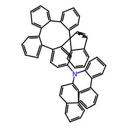 c1ccc(-c2ccccc2N(c2ccc3c(c2)C2(c4ccccc4-c4ccccc4-c4ccccc4-3)c3ccccc3-c3ccccc32)c2ccc3ccccc3c2)cc1